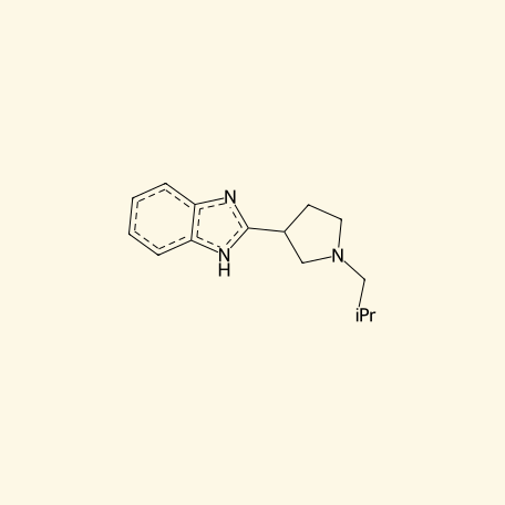 CC(C)CN1CCC(c2nc3ccccc3[nH]2)C1